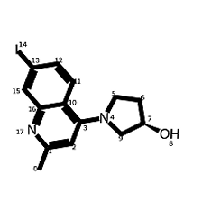 Cc1cc(N2CC[C@@H](O)C2)c2ccc(I)cc2n1